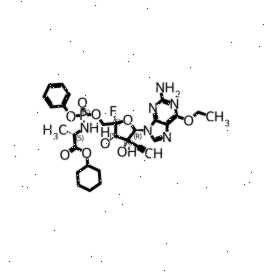 C#C[C@]1(O)[C@H](n2cnc3c(OCC)nc(N)nc32)O[C@](F)(CO[P@@](=O)(N[C@@H](C)C(=O)OC2CCCCC2)Oc2ccccc2)[C@H]1O